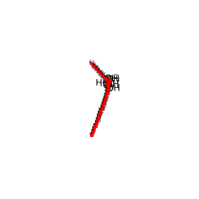 CCCCCCCCCCCCCCCCCCCCCCCCCCCCCCCCC(O)C(=O)N[C@H](CO)[C@H](O)C(O)CCCCCCCCCCCCCC